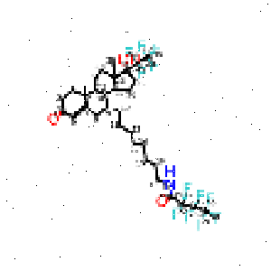 C[C@]12CCC(=O)C=C1C[C@@H](CCCCCCCCNC(=O)C(F)(F)C(F)(F)C(F)(F)F)C1C2CC[C@@]2(C)C1CC[C@@]2(O)C(F)(F)C(F)(F)F